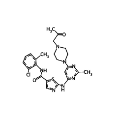 CC(=O)CN1CCN(c2cc(Nc3ncc(C(=O)Nc4c(C)cccc4Cl)s3)nc(C)n2)CC1